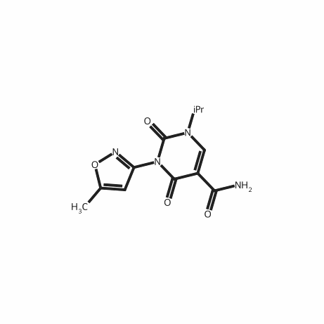 Cc1cc(-n2c(=O)c(C(N)=O)cn(C(C)C)c2=O)no1